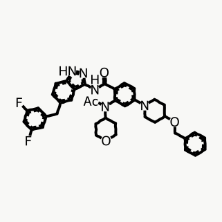 CC(=O)N(c1cc(N2CCC(OCc3ccccc3)CC2)ccc1C(=O)Nc1n[nH]c2ccc(Cc3cc(F)cc(F)c3)cc12)C1CCOCC1